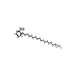 CCCCCCCCCCCCCCCCCSc1ccccc1C=O